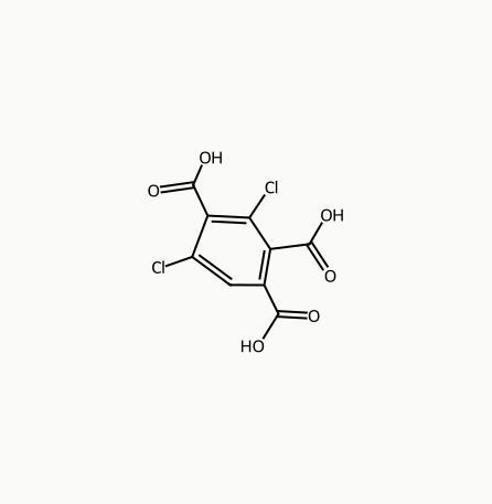 O=C(O)c1cc(Cl)c(C(=O)O)c(Cl)c1C(=O)O